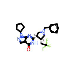 O=c1[nH]c([C@@H]2CN(Cc3ccccc3)C[C@H]2CC(F)(F)F)nc2c1cnn2C1CCCC1